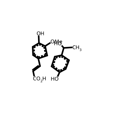 CC(O)c1ccc(O)cc1.COc1cc(C=CC(=O)O)ccc1O